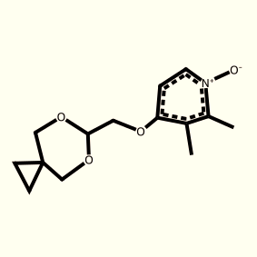 Cc1c(OCC2OCC3(CC3)CO2)cc[n+]([O-])c1C